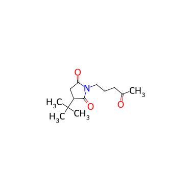 CC(=O)CCCN1C(=O)CC(C(C)(C)C)C1=O